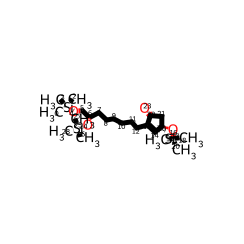 C[Si](C)(C)OCC(CCCCCCC1=C[C@H](O[Si](C)(C)C)CC1=O)O[Si](C)(C)C